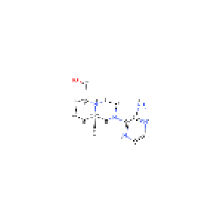 Nc1nccnc1N1CCN2[C@@H](CO)CCC[C@H]2C1